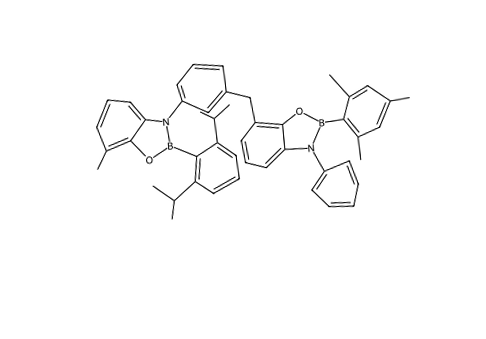 Cc1cc(C)c(B2Oc3c(Cc4cccc(N5B(c6c(C(C)C)cccc6C(C)C)Oc6c(C)cccc65)c4)cccc3N2c2ccccc2)c(C)c1